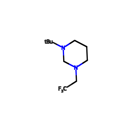 CC(C)(C)N1CCCN(CC(F)(F)F)C1